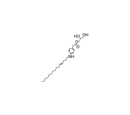 CCCCCCCCCC/C=C/CCCNc1ccc(CC(=O)OCC(O)CO)cc1